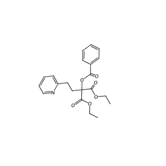 CCOC(=O)C(CCc1ccccn1)(OC(=O)c1ccccc1)C(=O)OCC